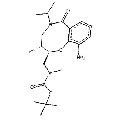 CC(C)N1C[C@@H](C)[C@H](CN(C)C(=O)OC(C)(C)C)Oc2c(N)cccc2C1=O